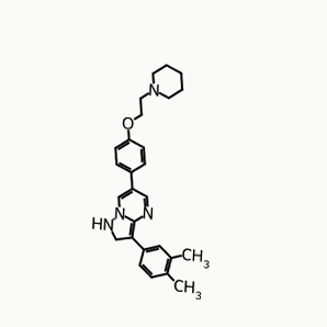 Cc1ccc(C2=C3N=CC(c4ccc(OCCN5CCCCC5)cc4)=CN3NC2)cc1C